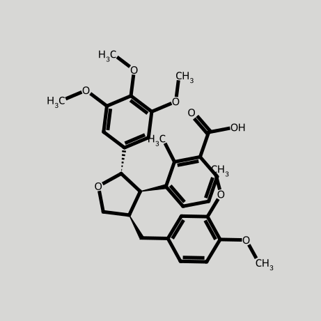 COc1ccc(C[C@H]2CO[C@H](c3cc(OC)c(OC)c(OC)c3)[C@H]2c2cccc(C(=O)O)c2C)cc1OC